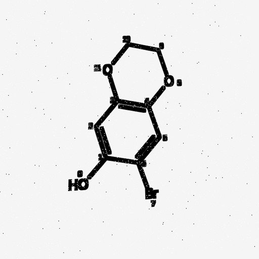 Oc1cc2c(cc1Br)OCCO2